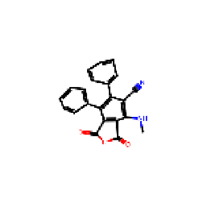 CNc1c(C#N)c(-c2ccccc2)c(-c2ccccc2)c2c1C(=O)OC2=O